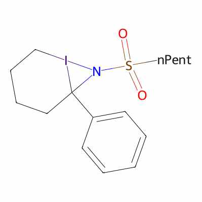 CCCCCS(=O)(=O)N1I2CCCCC12c1ccccc1